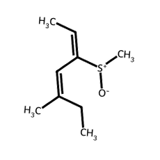 C/C=C(\C=C(\C)CC)[S+](C)[O-]